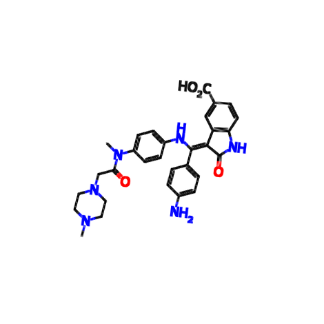 CN1CCN(CC(=O)N(C)c2ccc(NC(=C3C(=O)Nc4ccc(C(=O)O)cc43)c3ccc(N)cc3)cc2)CC1